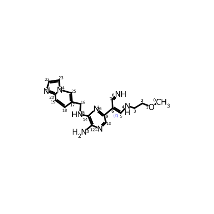 COCCN/C=C(\C=N)c1cnc(N)c(NCc2ccc3nccn3c2)n1